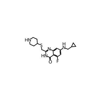 O=c1[nH]c(CSC2CCNCC2)nc2cc(NCC3CC3)cc(F)c12